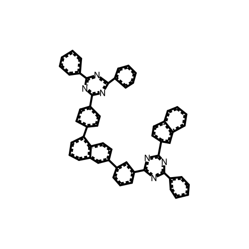 c1ccc(-c2nc(-c3ccccc3)nc(-c3ccc(-c4cccc5cc(-c6cccc(-c7nc(-c8ccccc8)nc(-c8ccc9ccccc9c8)n7)c6)ccc45)cc3)n2)cc1